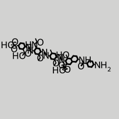 COc1cc(N=Nc2ccc(S(=O)(=O)O)cc2C(=O)O)c(NC(C)=O)cc1N=Nc1cc(OC)c(N=Nc2c(S(=O)(=O)O)cc3cc(NC(=O)c4ccc(N)cc4)ccc3c2O)cc1C